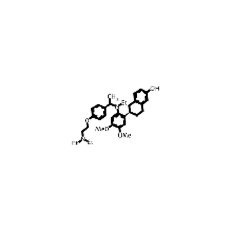 CCN(CC)CCOc1ccc(C(C)N(CC)c2cc(OC)c(OC)cc2[C@@H]2CCc3cc(O)ccc3C2)cc1